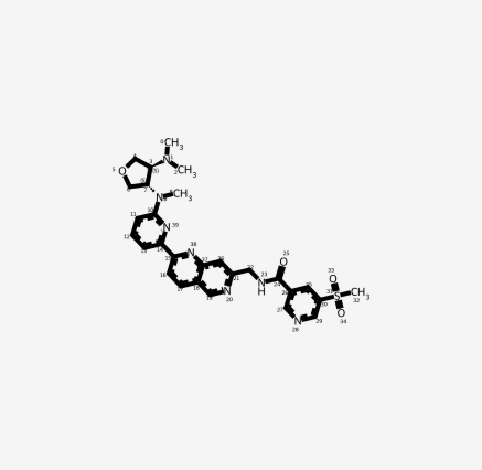 CN(C)[C@@H]1COC[C@H]1N(C)c1cccc(-c2ccc3cnc(CNC(=O)c4cncc(S(C)(=O)=O)c4)cc3n2)n1